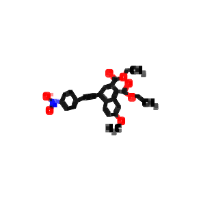 CCOC(=O)c1cc(C#Cc2ccc([N+](=O)[O-])cc2)c2ccc(OC)cc2c1C(=O)OCC